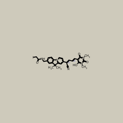 Cn1c(O)c(/C=C/C=C(\C#N)c2cc[n+]3c(c2)C(C)(C)c2cc(CNC(=O)CI)ccc2-3)c(=O)n(C)c1=O